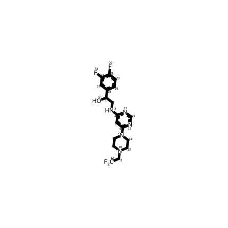 OC(CNc1cc(N2CCN(CC(F)(F)F)CC2)ncn1)c1ccc(F)c(F)c1